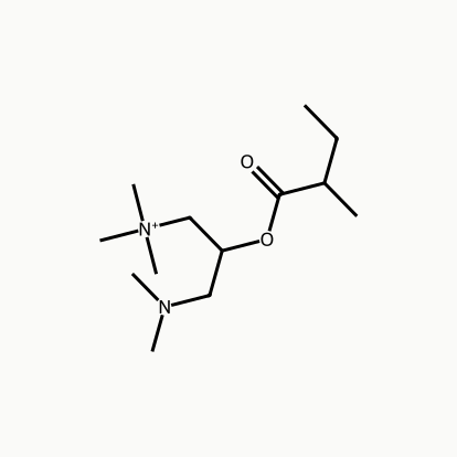 CCC(C)C(=O)OC(CN(C)C)C[N+](C)(C)C